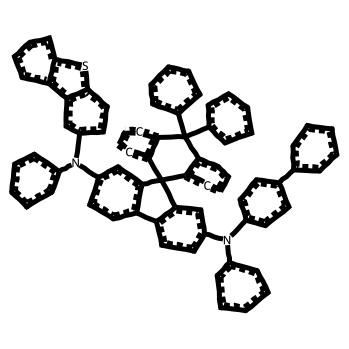 c1ccc(-c2ccc(N(c3ccccc3)c3ccc4c(c3)C3(c5cc(N(c6ccccc6)c6ccc7sc8ccccc8c7c6)ccc5-4)c4ccccc4C(c4ccccc4)(c4ccccc4)c4ccccc43)cc2)cc1